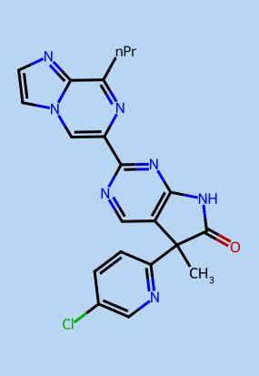 CCCc1nc(-c2ncc3c(n2)NC(=O)C3(C)c2ccc(Cl)cn2)cn2ccnc12